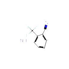 N.N#Cc1cc[c]cc1C(F)(F)F